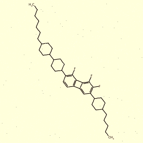 CCCCCCCC1CCC(C2CCC(c3ccc4c(c3F)-c3c-4cc(C4CCC(CCCCC)CC4)c(F)c3F)CC2)CC1